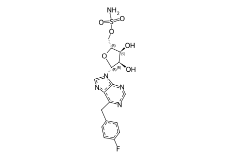 NS(=O)(=O)OC[C@H]1O[C@@H](n2cnc3c(Cc4ccc(F)cc4)ncnc32)[C@H](O)[C@@H]1O